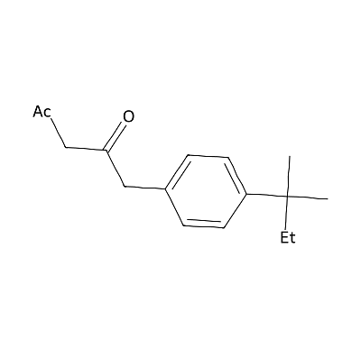 CCC(C)(C)c1ccc(CC(=O)CC(C)=O)cc1